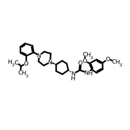 COc1ccc(NC(=O)N[C@H]2CC[C@H](N3CCN(c4ccccc4OC(C)C)CC3)CC2)c(OC)c1